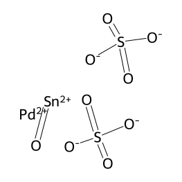 O=S(=O)([O-])[O-].O=S(=O)([O-])[O-].[O]=[Sn+2].[Pd+2]